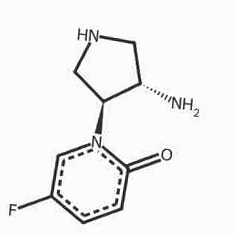 N[C@H]1CNC[C@@H]1n1cc(F)ccc1=O